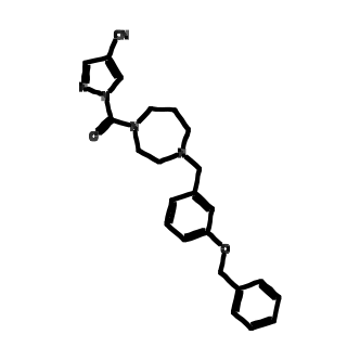 N#Cc1cnn(C(=O)N2CCCN(Cc3cccc(OCc4ccccc4)c3)CC2)c1